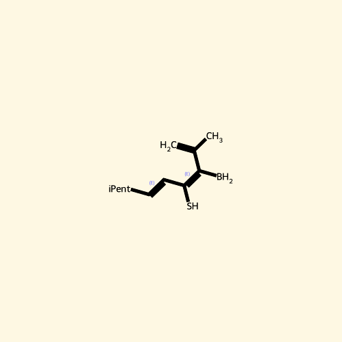 B/C(C(=C)C)=C(S)/C=C/C(C)CCC